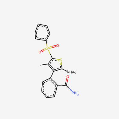 CC(=O)Nc1sc(S(=O)(=O)c2ccccc2)c(C)c1-c1ccccc1C(N)=O